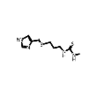 CNC(=S)NCCCSCc1c[nH]cn1